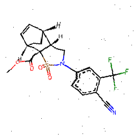 COC(=O)[C@@]12[C@@H]3C=C[C@@H](C3)[C@@H]1CN(c1ccc(C#N)c(C(F)(F)F)c1)S2(=O)=O